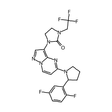 O=C1N(CC(F)(F)F)CCN1c1cnn2ccc(N3CCCC3c3cc(F)ccc3F)nc12